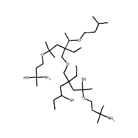 CCC(S)CC(CC)(COCC(CC)(CC(C)(C)OCCC(C)(N)S)C(C)OCCC(C)C)CC(C)(S)OCCC(C)(C)N